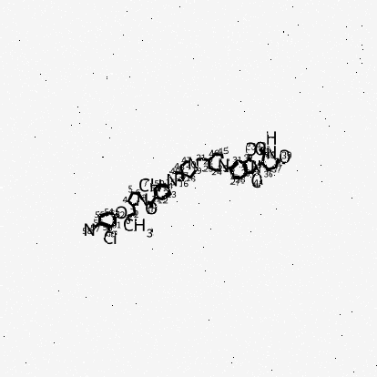 CC(CC1CCC(C)N1C(=O)c1ccc(N2CC3(CCN(CC4CCN(c5ccc6c(c5)C(=O)N(C5CCC(=O)NC5=O)C6=O)CC4)CC3)C2)cc1)Oc1ccc(C#N)c(Cl)c1